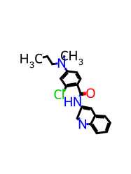 CCCN(C)c1ccc(C(=O)Nc2cnc3ccccc3c2)c(Cl)c1